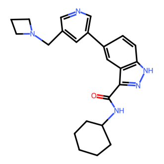 O=C(NC1CCCCC1)c1n[nH]c2ccc(-c3cncc(CN4CCC4)c3)cc12